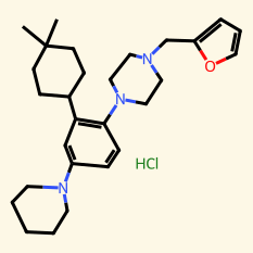 CC1(C)CCC(c2cc(N3CCCCC3)ccc2N2CCN(Cc3ccco3)CC2)CC1.Cl